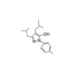 Cc1ccc(-n2nc(CC(C)C)c(CC(C)C)c2O)cc1